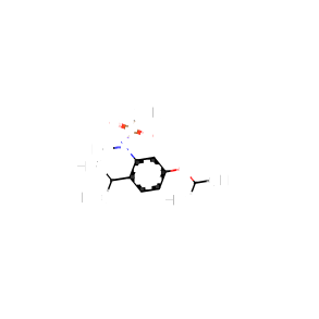 CC(C)Oc1ccc(C(C)C)c(N(C)S(C)(=O)=O)c1